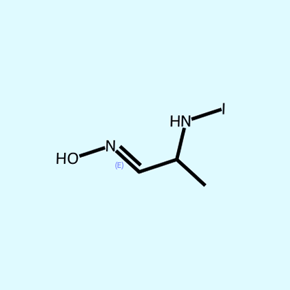 CC(/C=N/O)NI